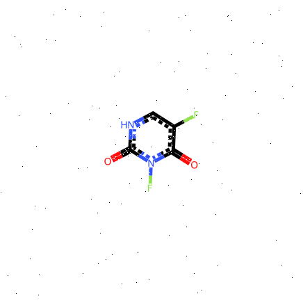 O=c1[nH]cc(F)c(=O)n1F